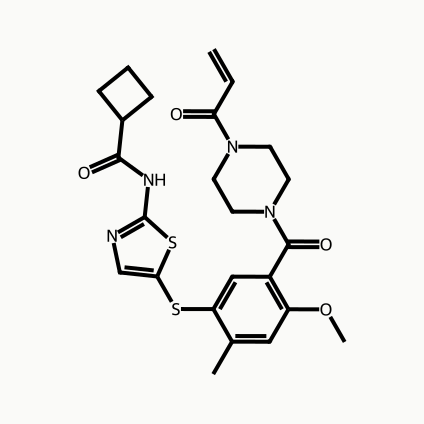 C=CC(=O)N1CCN(C(=O)c2cc(Sc3cnc(NC(=O)C4CCC4)s3)c(C)cc2OC)CC1